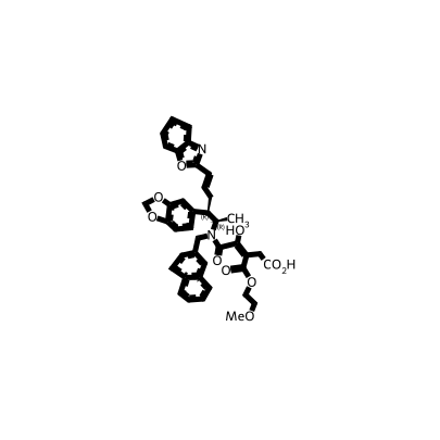 COCCOC(=O)C(CC(=O)O)=C(O)C(=O)N(Cc1ccc2ccccc2c1)[C@H](C)[C@H](CC=Cc1nc2ccccc2o1)c1ccc2c(c1)OCO2